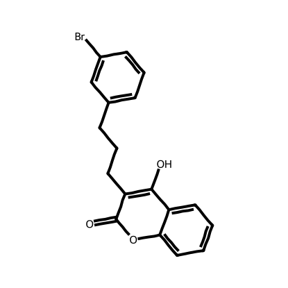 O=c1oc2ccccc2c(O)c1CCCc1cccc(Br)c1